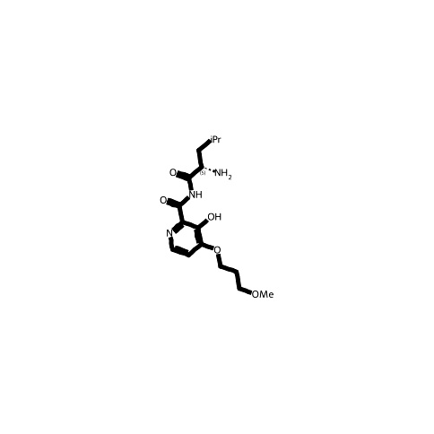 COCCCOc1ccnc(C(=O)NC(=O)[C@@H](N)CC(C)C)c1O